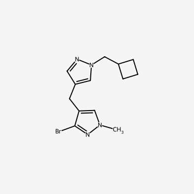 Cn1cc(Cc2cnn(CC3CCC3)c2)c(Br)n1